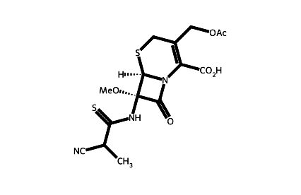 CO[C@@]1(NC(=S)C(C)C#N)C(=O)N2C(C(=O)O)=C(COC(C)=O)CS[C@@H]21